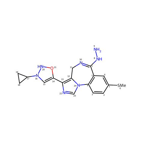 CSc1ccc2c(c1)C(NN)=NCc1c(C3=CN(C4CC4)NO3)ncn1-2